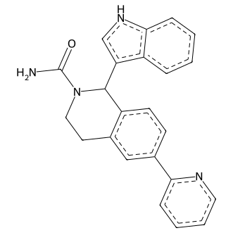 NC(=O)N1CCc2cc(-c3ccccn3)ccc2C1c1c[nH]c2ccccc12